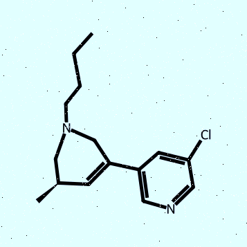 CCCCN1CC(c2cncc(Cl)c2)=C[C@@H](C)C1